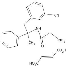 CC(Cc1cccc(C#N)c1)(NC(=O)CN)c1ccccc1.O=C(O)C=CC(=O)O